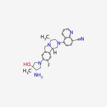 C[C@@H]1CN(c2ccc(C#N)c3ncccc23)C[C@@H]2c3cc(F)c(N4C[C@H](N)[C@@](C)(O)C4)cc3CN12